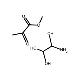 COC(=O)C(C)=O.NC(O)C(O)O